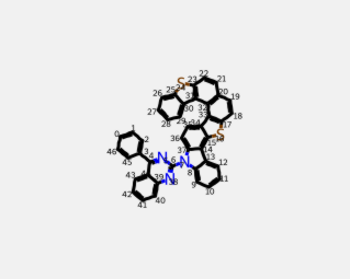 c1ccc(-c2nc(-n3c4ccccc4c4c5sc6ccc7ccc8sc9ccccc9c8c7c6c5ccc43)nc3ccccc23)cc1